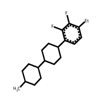 CCc1ccc(C2CCC(C3CCC(C)CC3)CC2)c(F)c1F